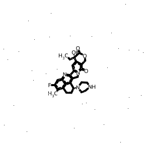 CC[C@@]1(O)C(=O)OCc2c1cc1n(c2=O)Cc2c-1nc1cc(F)c(C)c3c1c2[C@@H](N1CCNCC1)CC3